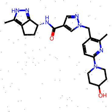 Cc1nc(N2CCC(O)CC2)ccc1Cn1cc(C(=O)N[C@@H]2CCc3c2n[nH]c3C)cn1